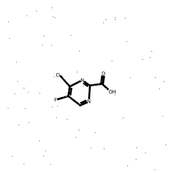 O=C(O)c1ncc(F)c(Cl)n1